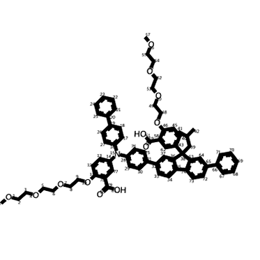 COCCOCCOCCOc1ccc(N(c2ccc(-c3ccccc3)cc2)c2ccc(-c3ccc4c(c3)C(CC(C)C)(c3ccc(OCCOCCOCCOC)c(C(=O)O)c3)c3cc(-c5ccccc5)ccc3-4)cc2)cc1C(=O)O